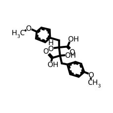 COc1ccc(CC(O)(C(=O)O)C(O)(Cc2ccc(OC)cc2)C(=O)O)cc1